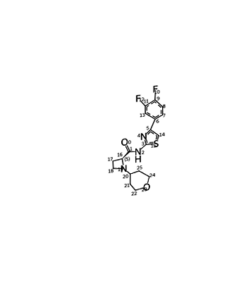 O=C(Nc1nc(-c2ccc(F)c(F)c2)cs1)[C@@H]1CCN1C1CCOCC1